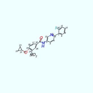 O=C(Nc1ccc(-c2ccccc2F)nc1)c1ccc(OC2CC2)c([N+](=O)[O-])c1